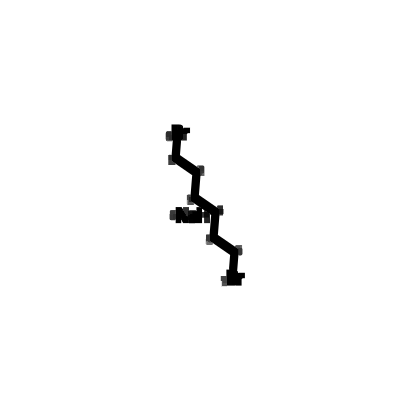 BrCCCCCCBr.[NaH]